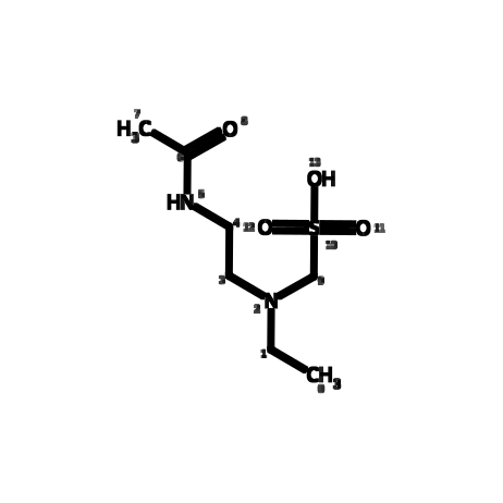 CCN(CCNC(C)=O)CS(=O)(=O)O